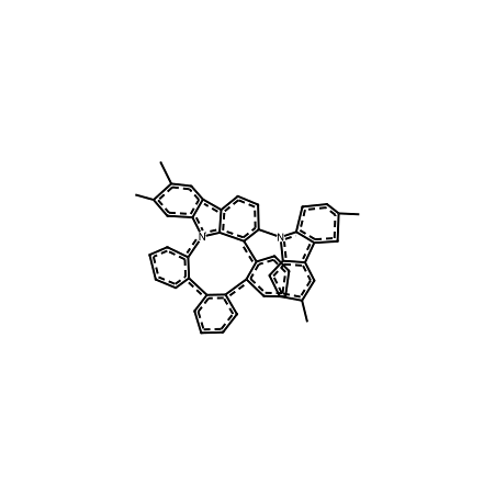 Cc1ccc2c(c1)c1cc(C)ccc1n2-c1ccc2c3cc(C)c(C)cc3n3c4ccccc4c4ccccc4c4ccccc4c1c23